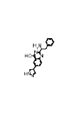 N[C@@H](Cc1ccccc1)c1nc(O)c2cc(C3C=NNC3)ccc2n1